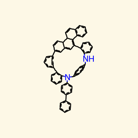 C1=CC2C3=CC(=C4c5ccccc5C=CC42)c2ccccc2Nc2ccc(cc2)N(c2ccc(-c4ccccc4)cc2)c2ccccc2-c2cccc(c2)C1=C3